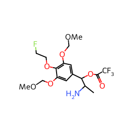 COCOc1cc(C(OC(=O)C(F)(F)F)C(C)N)cc(OCOC)c1OCCF